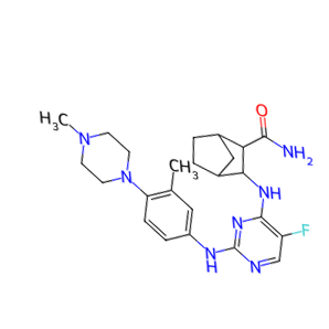 Cc1cc(Nc2ncc(F)c(NC3C4CCC(C4)C3C(N)=O)n2)ccc1N1CCN(C)CC1